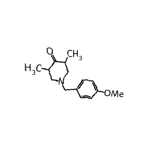 COc1ccc(CN2CC(C)C(=O)C(C)C2)cc1